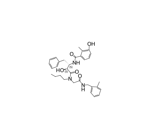 CCCCN(CC(=O)NCc1ccccc1C)C(=O)[C@@H](O)[C@H](Cc1ccccc1)NC(=O)c1cccc(O)c1C